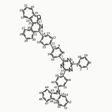 c1ccc(-c2nc(-c3ccc(-c4ccc(-c5nc6oc7ccccc7c6c6ccccc56)cc4)cc3)nc(-c3ccc(-n4c5ccccc5c5ccccc54)cc3)n2)cc1